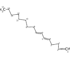 [CH]=CCCC=CC=CCCCCCCCC